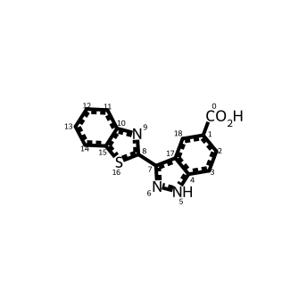 O=C(O)c1ccc2[nH]nc(-c3nc4ccccc4s3)c2c1